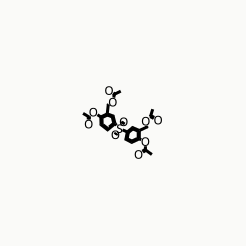 CC(=O)OCc1cc(S(=O)(=O)c2ccc(OC(C)=O)c(COC(C)=O)c2)ccc1OC(C)=O